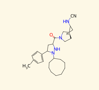 Cc1ccc(C2CC(C(=O)N3CC[C@@]4(CC4NC#N)C3)NN2C2CCCCCCCC2)cc1